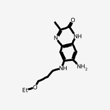 CCOCCCNc1cc2nc(C)c(=O)[nH]c2cc1N